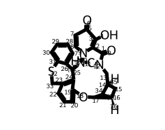 O=C1c2c(O)c(=O)ccn2N2CN1C[C@@H]1C[C@@H]3C(Oc4cccc5c4[C@H]2c2ccccc2SC5)C13